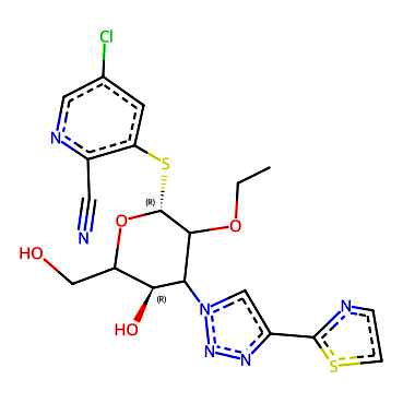 CCOC1C(n2cc(-c3nccs3)nn2)[C@@H](O)C(CO)O[C@@H]1Sc1cc(Cl)cnc1C#N